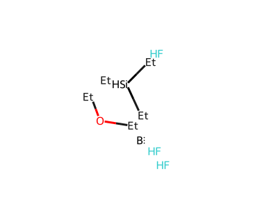 CCOCC.CC[SiH](CC)CC.F.F.F.[B]